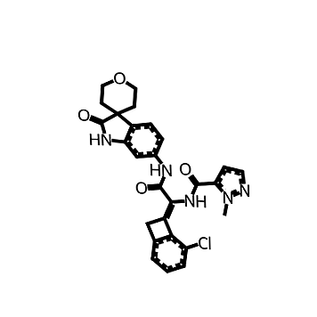 Cn1nccc1C(=O)NC(C(=O)Nc1ccc2c(c1)NC(=O)C21CCOCC1)=C1Cc2cccc(Cl)c21